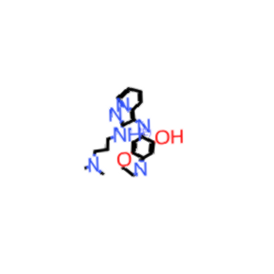 CN(C)CCCNc1nn2ccccc2c1/N=C1\C=C2OCCN=C2C=C1O